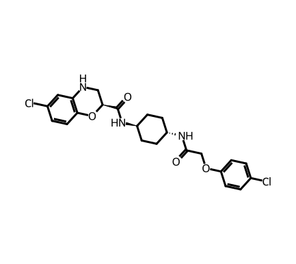 O=C(COc1ccc(Cl)cc1)N[C@H]1CC[C@H](NC(=O)[C@@H]2CNc3cc(Cl)ccc3O2)CC1